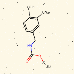 COc1cc(CNC(=O)OC(C)(C)C)ccc1C(=O)O